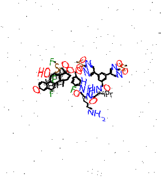 CC(C)[C@H](NC(=O)c1cc(-c2cnc(S(C)(=O)=O)nc2)cc(-c2cnc(S(C)(=O)=O)nc2)c1)C(=O)N[C@@H](CCCCN)C(=O)Nc1cc(C(=O)O[C@]2(C(=O)SCF)CC[C@H]3[C@@H]4C[C@H](F)C5=CC(=O)C=C[C@]5(C)[C@@]4(F)[C@@H](O)C[C@@]32C)ccc1F